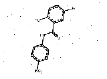 O=C(Nc1ccc([N+](=O)[O-])cc1)c1cc(Br)ccc1O